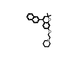 CC1(C)C=C(c2ccc3ccccc3c2)c2ccc(OCCN3CCCCC3)cc2O1